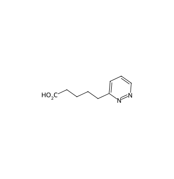 O=C(O)CCCCc1cccnn1